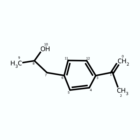 C=C(C)c1ccc(CC(C)O)cc1